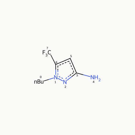 CCCCn1nc(N)cc1C(F)(F)F